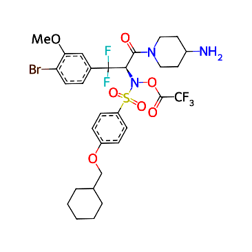 COc1cc(C(F)(F)[C@@H](C(=O)N2CCC(N)CC2)N(OC(=O)C(F)(F)F)S(=O)(=O)c2ccc(OCC3CCCCC3)cc2)ccc1Br